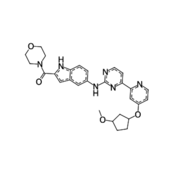 COC1CCC(Oc2ccnc(-c3ccnc(Nc4ccc5[nH]c(C(=O)N6CCOCC6)cc5c4)n3)c2)C1